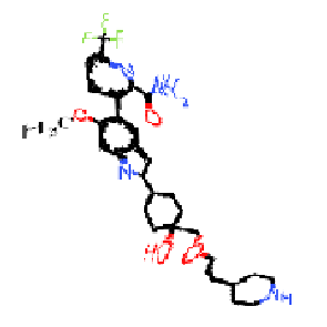 COc1cc2c(cc1-c1ccc(C(F)(F)F)nc1C(N)=O)=CC(C1CCC(O)(COCCC3CCNCC3)CC1)N=2